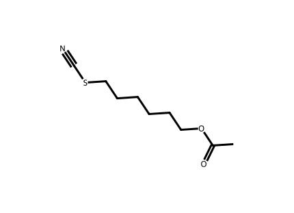 CC(=O)OCCCCCCSC#N